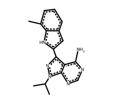 Cc1cccc2cc(-c3nn(C(C)C)c4ncnc(N)c34)[nH]c12